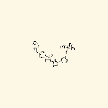 CC(C)S(C#Cc1cccc(-c2csc(NC(=O)c3ccc(CN4CCOCC4)cc3)n2)c1)(C(C)C)C(C)C